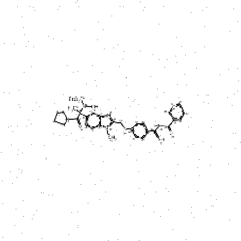 CCOC(=O)N(C)[C@@](C)(C(=O)N1CCCC1)c1ccc2c(c1)nc(CNc1ccc(C(=N)NC(=O)c3ccccc3)cc1)n2C